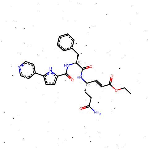 CCOC(=O)/C=C/[C@H](CCC(N)=O)NC(=O)[C@H](Cc1ccccc1)NC(=O)c1ccc(-c2ccncc2)[nH]1